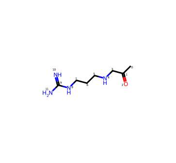 CC(=O)CNCCCNC(=N)N